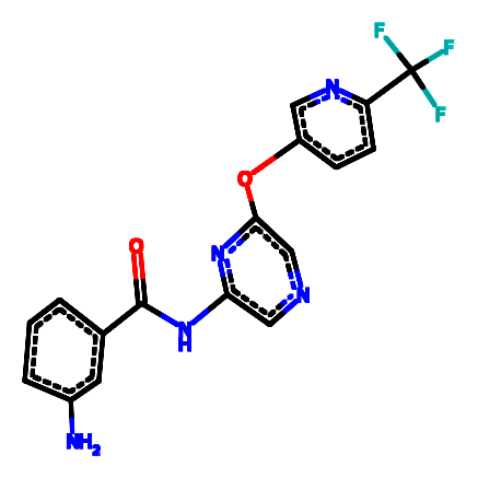 Nc1cccc(C(=O)Nc2cncc(Oc3ccc(C(F)(F)F)nc3)n2)c1